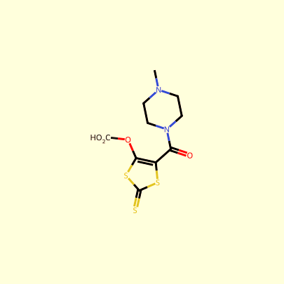 CN1CCN(C(=O)c2sc(=S)sc2OC(=O)O)CC1